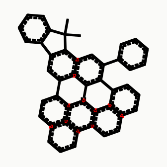 CC1(C)c2ccccc2-c2cc(-c3ccccc3N(c3ccccc3-c3ccccc3)c3cccc(-c4ccccc4)c3-c3ccccc3-c3ccccc3)ccc21